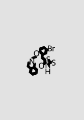 O=C1NC(=S)SC1=Cc1cc(Br)ccc1OCCN1CCc2ccccc2C1